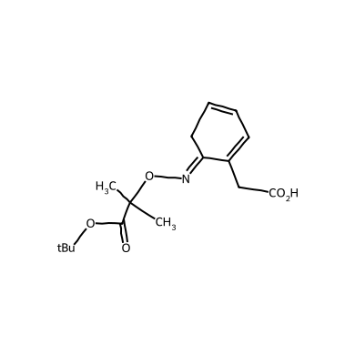 CC(C)(C)OC(=O)C(C)(C)ON=C1CC=CC=C1CC(=O)O